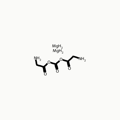 NCC(=O)OC(=O)OC(=O)CN.[MgH2].[MgH2]